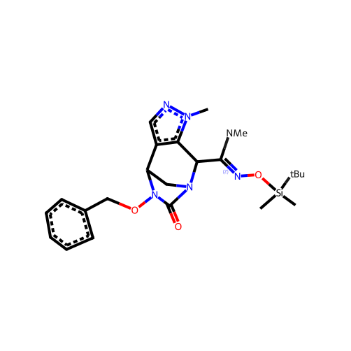 CN/C(=N\O[Si](C)(C)C(C)(C)C)C1c2c(cnn2C)C2CN1C(=O)N2OCc1ccccc1